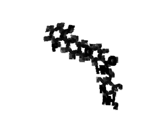 Cc1cc(N)nc(C)c1CNC(=O)c1ccc2c(c1)c1oc2c2cc(-c3c(F)cccc3F)ccc21